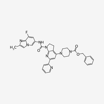 Cc1cn2cc(NC(=O)N3CCc4c(N5CCN(C(=O)OCc6ccccc6)CC5)cc(-c5ccccn5)nc43)cc(F)c2n1